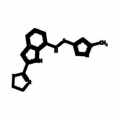 Cn1cc(SNc2cccc3cc(C4=NCCS4)[nH]c23)cn1